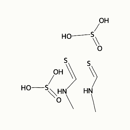 CNC=S.CNC=S.O=S(O)O.O=S(O)O